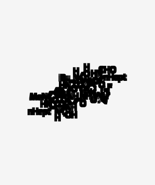 CCCCCCC[C@H](NC(=O)[C@@H](Cc1ccccc1)NC)C(=O)N[C@@H](CO)C(=O)N[C@H](CCC(N)=O)C(=O)N[C@@H](C(=O)N[C@H](C(=O)N[C@@H](CO)C(=O)N[C@@H](C(=O)N[C@@H](C)C(=O)N[C@]1(C)C[C@H]1CC(F)F)[C@H](C)OC(=O)[C@H](CCCCCCC)NC=O)[C@@H](C)CC)[C@@H](C)CC